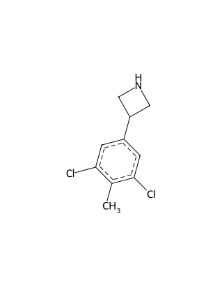 Cc1c(Cl)cc(C2CNC2)cc1Cl